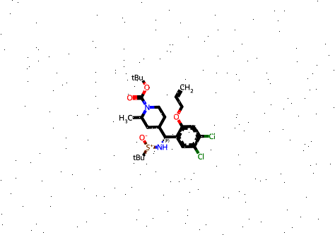 C=CCOc1cc(Cl)c(Cl)cc1[C@H](N[S+]([O-])C(C)(C)C)C1CCN(C(=O)OC(C)(C)C)C(C)C1